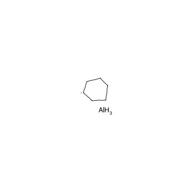 [AlH3].[CH]1CCCCC1